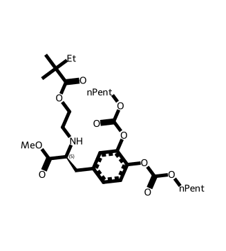 CCCCCOC(=O)Oc1ccc(C[C@H](NCCOC(=O)C(C)(C)CC)C(=O)OC)cc1OC(=O)OCCCCC